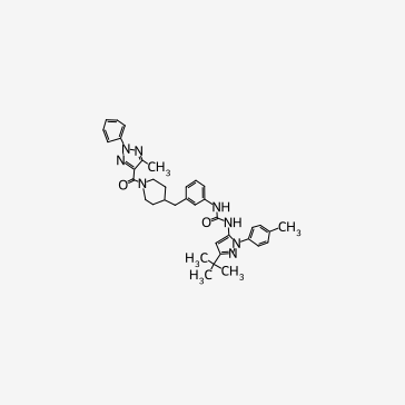 Cc1ccc(-n2nc(C(C)(C)C)cc2NC(=O)Nc2cccc(CC3CCN(C(=O)c4nn(-c5ccccc5)nc4C)CC3)c2)cc1